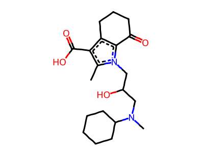 Cc1c(C(=O)O)c2c(n1CC(O)CN(C)C1CCCCC1)C(=O)CCC2